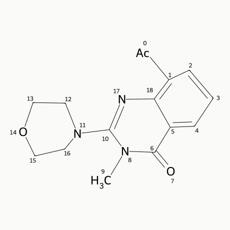 CC(=O)c1cccc2c(=O)n(C)c(N3CCOCC3)nc12